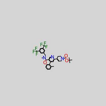 Cc1ccccc1-c1cc(C2=CCN(C(=O)OC(C)(C)C)CC2)ncc1C(=O)N(C)Cc1cc(C(F)(F)F)cc(C(F)(F)F)c1